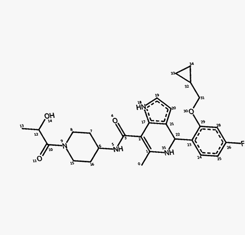 CC1=C(C(=O)NC2CCN(C(=O)C(C)O)CC2)c2[nH]ccc2C(c2ccc(F)cc2OCC2CC2)N1